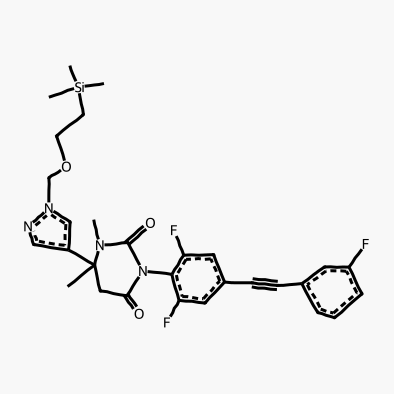 CN1C(=O)N(c2c(F)cc(C#Cc3cccc(F)c3)cc2F)C(=O)CC1(C)c1cnn(COCC[Si](C)(C)C)c1